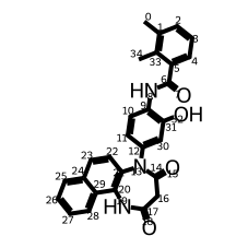 Cc1cccc(C(=O)Nc2ccc(N3C(=O)CC(=O)Nc4c3ccc3ccccc43)cc2O)c1C